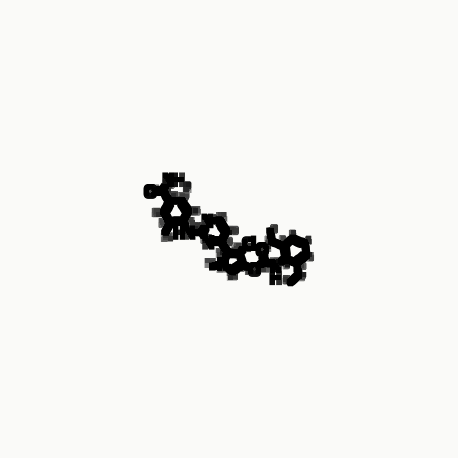 CCc1cccc(CC)c1NC(=O)Oc1cn(C)c(-c2ccnc(Nc3ccc(C(N)=O)cc3C)n2)c1Cl